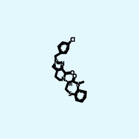 CN1C(=O)[C@@H](N2CCc3cn(Cc4ccc(Cl)cc4)nc3C2=O)CSc2ccccc21